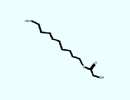 CCCCCCCCCCCCCCCCCCSC(=O)CO